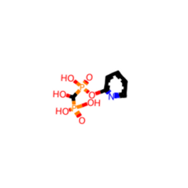 O=P(O)(O)C(O)P(=O)(O)Oc1ccccn1